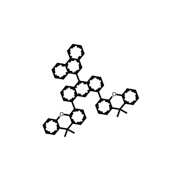 CC1(C)c2ccccc2Oc2c(-c3cccc4c(-c5cc6ccccc6c6ccccc56)c5cccc(-c6cccc7c6Oc6ccccc6C7(C)C)c5cc34)cccc21